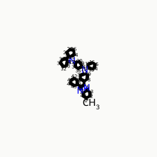 Cc1ccc2nc(-c3ccc(N(c4ccccc4)c4ccc(-n5c6ccccc6c6ccccc65)cc4)cc3)c(-c3ccccc3)nc2c1